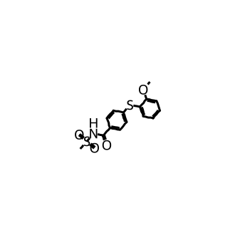 COc1ccccc1Sc1ccc(C(=O)NS(C)(=O)=O)cc1